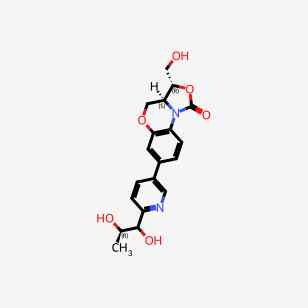 C[C@@H](O)C(O)c1ccc(-c2ccc3c(c2)OC[C@H]2[C@H](CO)OC(=O)N32)cn1